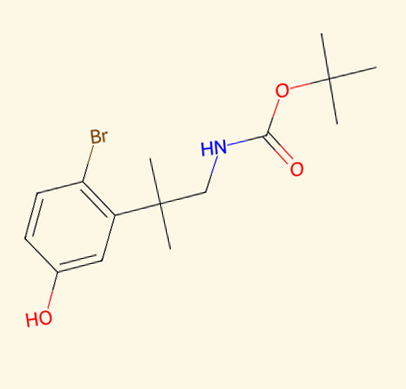 CC(C)(C)OC(=O)NCC(C)(C)c1cc(O)ccc1Br